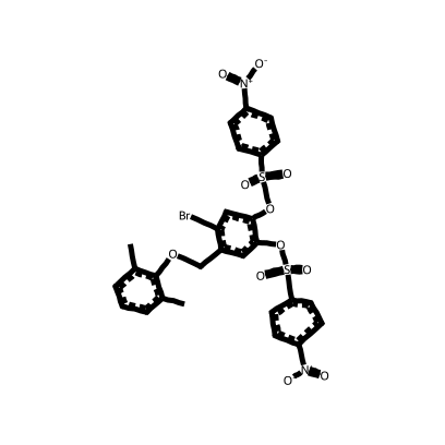 Cc1cccc(C)c1OCc1cc(OS(=O)(=O)c2ccc([N+](=O)[O-])cc2)c(OS(=O)(=O)c2ccc([N+](=O)[O-])cc2)cc1Br